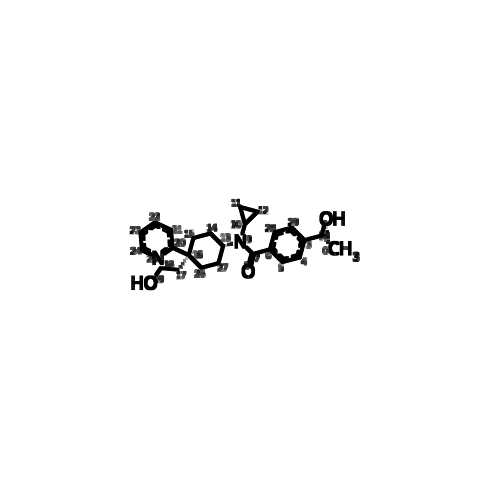 C[C@@H](O)c1ccc(C(=O)N(C2CC2)[C@H]2CC[C@](CCO)(c3ccccn3)CC2)cc1